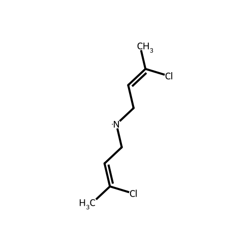 CC(Cl)=CC[N]CC=C(C)Cl